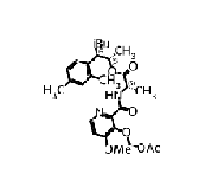 CCC(C)[C@H](c1ccc(C)cc1C)[C@H](C)OC(=O)[C@H](C)NC(=O)c1nccc(OC)c1OCOC(C)=O